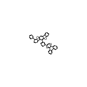 c1ccc(-c2cccc3c2oc2cc4c(oc5ccccc54)c(-c4cccc(-c5cnc6c7ccccc7c7ccccc7c6n5)c4)c23)cc1